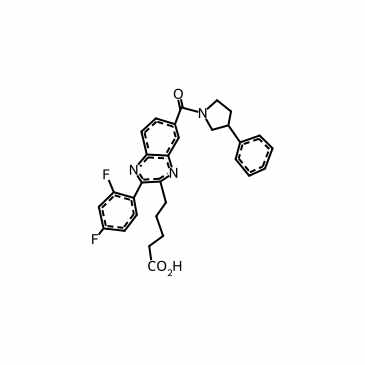 O=C(O)CCCCc1nc2cc(C(=O)N3CCC(c4ccccc4)C3)ccc2nc1-c1ccc(F)cc1F